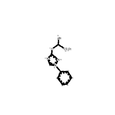 CCCC(Oc1ncn(-c2ccccc2)n1)C(=O)OCC